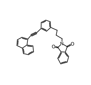 O=C1c2ccccc2C(=O)N1CCCc1cccc(C#Cc2cccc3ccccc23)c1